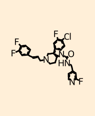 O=C(NCc1ccnc(F)c1)n1c2c(c3cc(F)c(Cl)cc31)CN(CC=Cc1ccc(F)c(F)c1)CC2